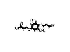 Cc1cc(OCC=C(Cl)Cl)cc(C)c1OCCCBr